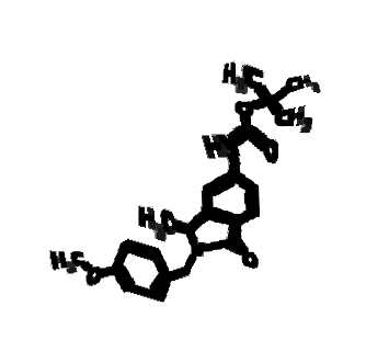 COc1ccc(CN2C(=O)c3ccc(NC(=O)OC(C)(C)C)cc3C2C)cc1